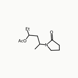 CCC(CC(C)N1CCCC1=O)OC(C)=O